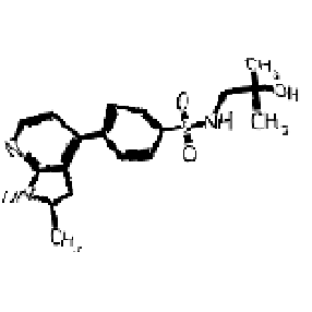 CC1Cc2c(-c3ccc(S(=O)(=O)NCC(C)(C)O)cc3)ccnc2N1